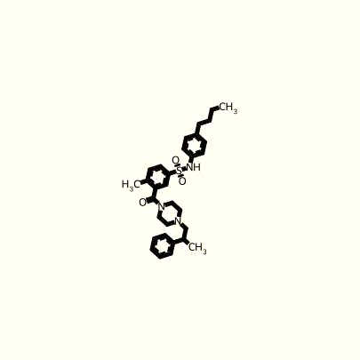 CCCCc1ccc(NS(=O)(=O)c2ccc(C)c(C(=O)N3CCN(CC(C)c4ccccc4)CC3)c2)cc1